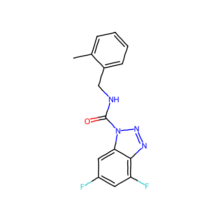 Cc1ccccc1CNC(=O)n1nnc2c(F)cc(F)cc21